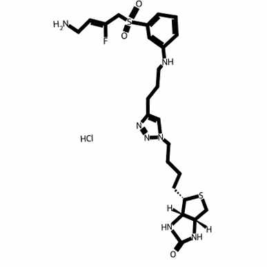 Cl.NC/C=C(\F)CS(=O)(=O)c1cccc(NCCCc2cn(CCCC[C@@H]3SC[C@@H]4NC(=O)N[C@@H]43)nn2)c1